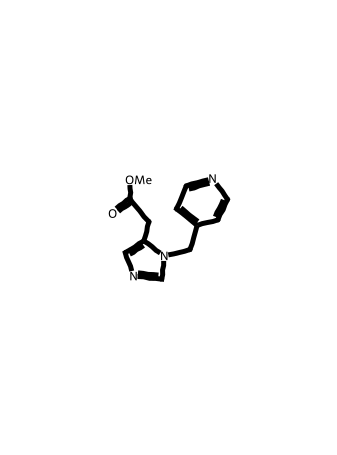 COC(=O)Cc1cncn1Cc1ccncc1